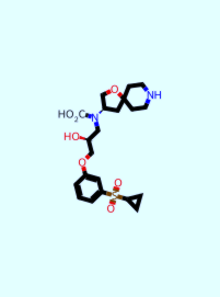 O=C(O)N(C[C@H](O)COc1cccc(S(=O)(=O)C2CC2)c1)[C@@H]1COC2(CCNCC2)C1